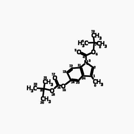 Cc1cn(C(=O)OC(C)(C)C)c2ccc(OC(=O)OC(C)(C)C)cc12